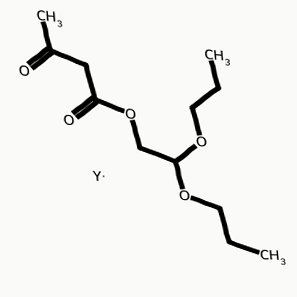 CCCOC(COC(=O)CC(C)=O)OCCC.[Y]